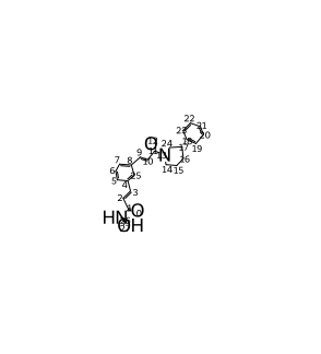 O=C(/C=C/c1cccc(/C=C/C(=O)N2CCC[C@@H](c3ccccc3)C2)c1)NO